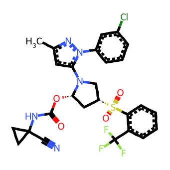 Cc1cc(N2C[C@H](S(=O)(=O)c3ccccc3C(F)(F)F)C[C@@H]2OC(=O)NC2(C#N)CC2)n(-c2cccc(Cl)c2)n1